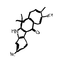 CCC1=CC2=C(CC=C1C)C(C)(C)c1[nH]c3cc(C#N)ccc3c1C2=O